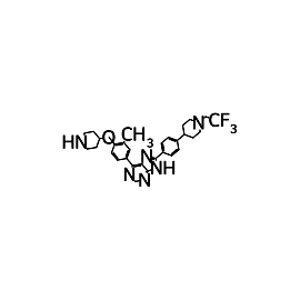 Cc1cc(-c2ncnc3[nH]c(-c4ccc(C5CCN(CC(F)(F)F)CC5)cc4)nc23)ccc1OC1CCNCC1